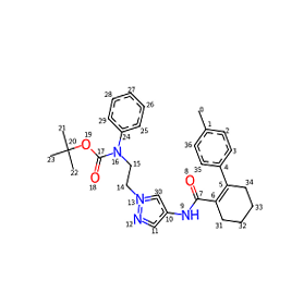 Cc1ccc(C2=C(C(=O)Nc3cnn(CCN(C(=O)OC(C)(C)C)c4ccccc4)c3)CCCC2)cc1